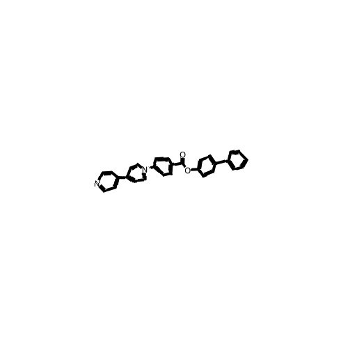 O=C(Oc1ccc(-c2ccccc2)cc1)c1ccc(-[n+]2ccc(-c3ccncc3)cc2)cc1